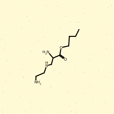 CCCCOC(=O)C(N)CNCCN